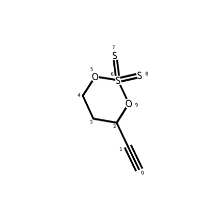 C#CC1CCOS(=S)(=S)O1